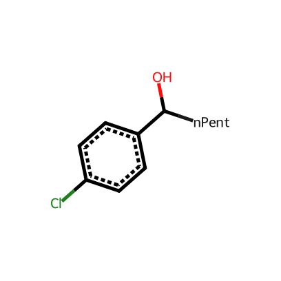 CCCCCC(O)c1ccc(Cl)cc1